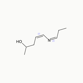 CC/C=N\C=C/CC(C)O